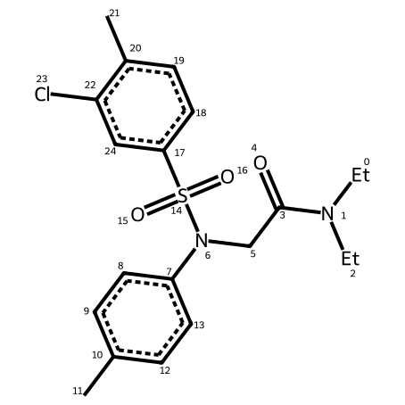 CCN(CC)C(=O)CN(c1ccc(C)cc1)S(=O)(=O)c1ccc(C)c(Cl)c1